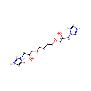 OC(COCCCCOCC(O)Cn1ccnc1)Cn1ccnc1